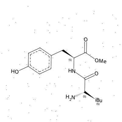 CC[C@H](C)[C@H](N)C(=O)N[C@@H](Cc1ccc(O)cc1)C(=O)OC